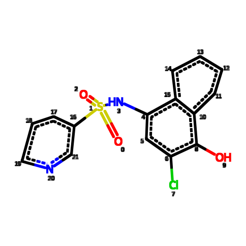 O=S(=O)(Nc1cc(Cl)c(O)c2ccccc12)c1cccnc1